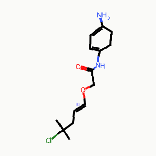 CC(C)(Cl)C/C=C/OCC(=O)NC1=CC=C(N)CC1